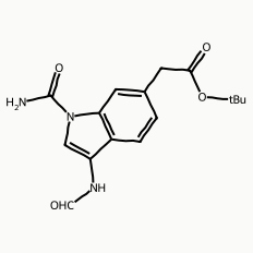 CC(C)(C)OC(=O)Cc1ccc2c(NC=O)cn(C(N)=O)c2c1